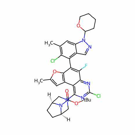 Cc1cc2c(o1)c(-c1c(Cl)c(C)cc3c1cnn3C1CCCCO1)c(F)c1nc(Cl)nc(N3C[C@H]4CC[C@@H](C3)N4C(=O)OC(C)(C)C)c12